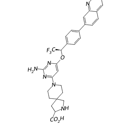 Nc1nc(O[C@H](c2ccc(-c3ccc4cccnc4c3)cc2)C(F)(F)F)cc(N2CCC3(CC2)CNC(C(=O)O)C3)n1